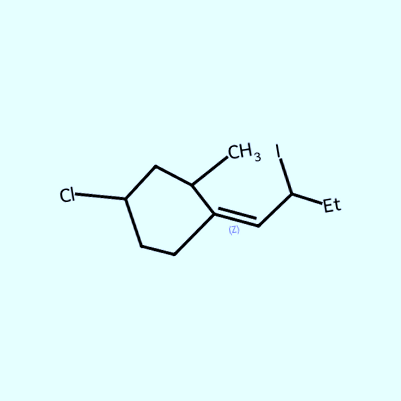 CCC(I)/C=C1/CCC(Cl)CC1C